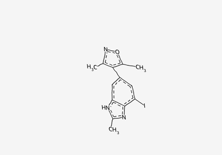 Cc1nc2c(I)cc(-c3c(C)noc3C)cc2[nH]1